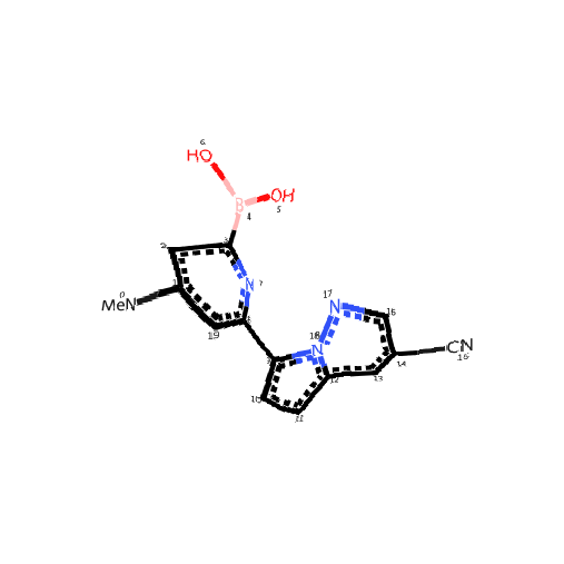 CNc1cc(B(O)O)nc(-c2ccc3cc(C#N)cnn23)c1